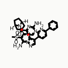 CS(=O)(=O)c1c([C@H]2C[C@H]3CC[C@@H](C2)N3C(=O)c2ccnc(N)n2)nc2c(-c3ccc(-c4ccccc4)nc3)cnn2c1N